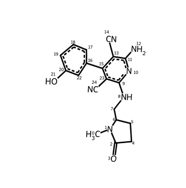 CN1C(=O)CCC1CNc1nc(N)c(C#N)c(-c2cccc(O)c2)c1C#N